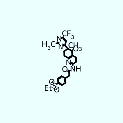 CCS(=O)(=O)c1ccc(CC(=O)Nc2ccc3c(n2)CCC(C)(c2cc(C(F)(F)F)nc(C)n2)C3=O)cc1